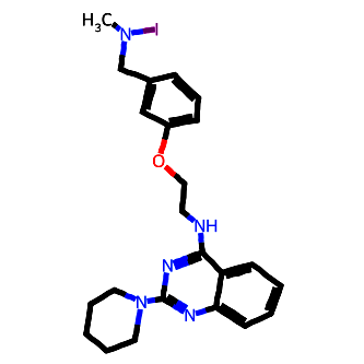 CN(I)Cc1cccc(OCCNc2nc(N3CCCCC3)nc3ccccc23)c1